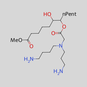 CCCCCC(OC(=O)CN(CCCN)CCCCN)C(O)CCCCC(=O)OC